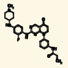 C=CC(=O)Nc1cccc(-n2ccc(=O)c3cnc(Nc4ccc(NC5CCN(C)CC5)cc4F)nc32)c1